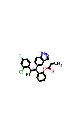 C=CC(=O)Oc1ccccc1/C(=C(\CC)c1ccc(F)cc1Cl)c1ccc2[nH]ncc2c1